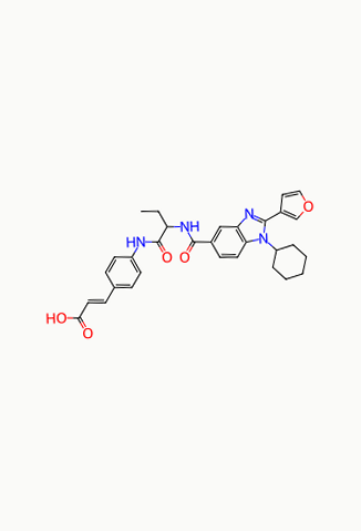 CCC(NC(=O)c1ccc2c(c1)nc(-c1ccoc1)n2C1CCCCC1)C(=O)Nc1ccc(C=CC(=O)O)cc1